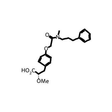 CO[C@@H](Cc1ccc(OCC(=O)N(C)CCCc2ccccc2)cc1)C(=O)O